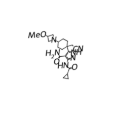 COC1CN(C2CCC(CC#N)(c3[nH]nc(NC(=O)C4CC4)c3C(N)=O)CC2)C1